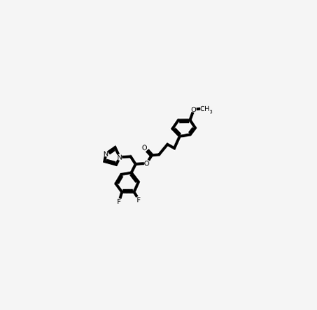 COc1ccc(CCCC(=O)OC(Cn2ccnc2)c2ccc(F)c(F)c2)cc1